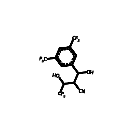 N#CC(C(O)c1cc(C(F)(F)F)cc(C(F)(F)F)c1)C(O)C(F)(F)F